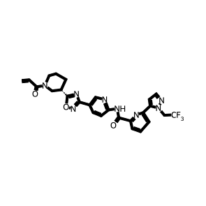 C=CC(=O)N1CCC[C@H](c2nc(-c3ccc(NC(=O)c4cccc(-c5ccnn5CC(F)(F)F)n4)nc3)no2)C1